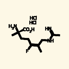 CC(=N)NC/C(C)=C(/F)CC[C@](C)(N)C(=O)O.Cl.Cl